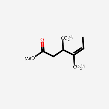 CC=C(C(=O)O)C(CC(=O)OC)C(=O)O